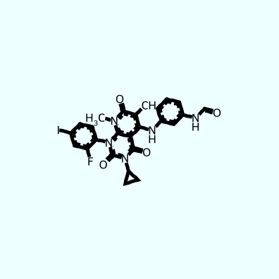 Cc1c(Nc2cccc(NC=O)c2)c2c(=O)n(C3CC3)c(=O)n(-c3ccc(I)cc3F)c2n(C)c1=O